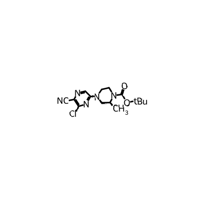 CC1CN(c2cnc(C#N)c(Cl)n2)CCN1C(=O)OC(C)(C)C